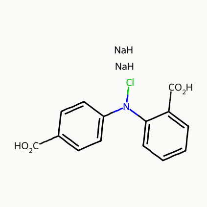 O=C(O)c1ccc(N(Cl)c2ccccc2C(=O)O)cc1.[NaH].[NaH]